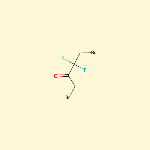 O=C(CBr)C(F)(F)CBr